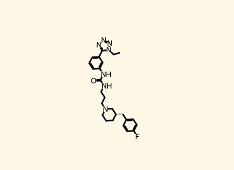 CCn1nnnc1-c1cccc(NC(=O)NCCCN2CCC[C@@H](Cc3ccc(F)cc3)C2)c1